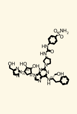 NS(=O)(=O)c1ccc(NC(=O)N[C@@H]2CCN(c3nc(N[C@H](CO)Cc4ccccc4)c4ncn([C@@H]5C[C@H](n6ncc(CO)n6)[C@@H](O)[C@H]5O)c4n3)C2)cc1